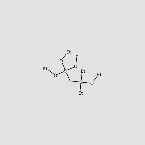 CCO[Si](CC)(CC)C[Si](OCC)(OCC)OCC